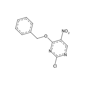 O=[N+]([O-])c1cnc(Cl)nc1OCc1ccccc1